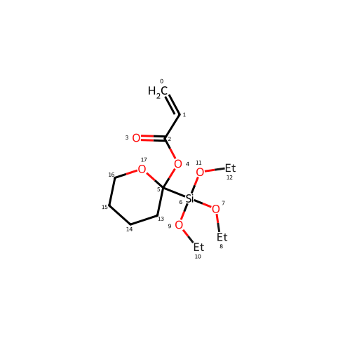 C=CC(=O)OC1([Si](OCC)(OCC)OCC)CCCCO1